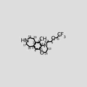 Cc1c2c(cc3c1N(CCOCC(F)(F)F)CCO3)CCNCC2